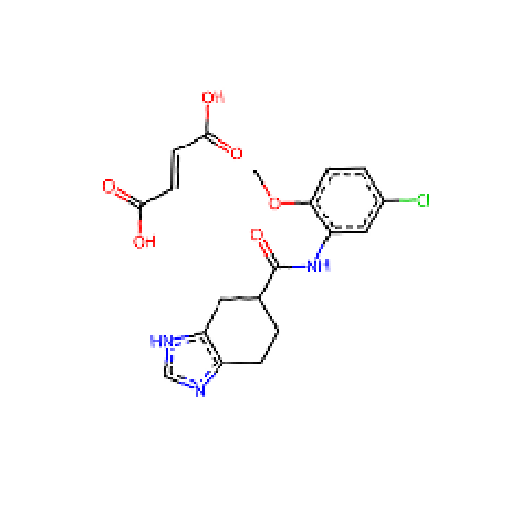 COc1ccc(Cl)cc1NC(=O)C1CCc2nc[nH]c2C1.O=C(O)C=CC(=O)O